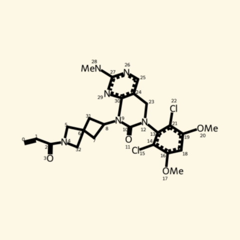 C=CC(=O)N1CC2(CC(N3C(=O)N(c4c(Cl)c(OC)cc(OC)c4Cl)Cc4cnc(NC)nc43)C2)C1